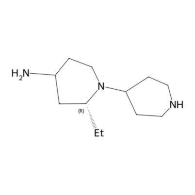 CC[C@@H]1CC(N)CCN1C1CCNCC1